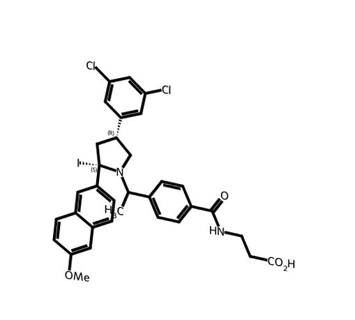 COc1ccc2cc([C@@]3(I)C[C@H](c4cc(Cl)cc(Cl)c4)CN3C(C)c3ccc(C(=O)NCCC(=O)O)cc3)ccc2c1